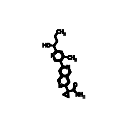 CCC[C@H](O)c1cc(C)c(-c2cc3cnc(C4(C(N)=O)CC4)cc3cn2)cn1